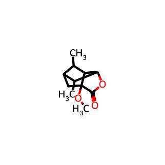 COC12CC3C(C)C(OC1=O)C2C3C